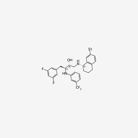 CCc1ccc2c(c1)[C@@H](NC[C@@H](O)[C@H](Cc1cc(F)cc(F)c1)Nc1cccc(C(F)(F)F)c1)CCC2